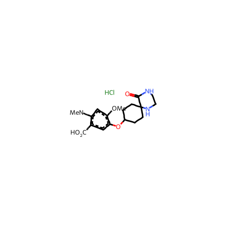 CNc1cc(OC)c(OC2CCC3(CC2)NCCNC3=O)cc1C(=O)O.Cl